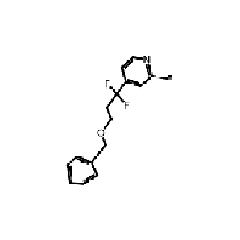 Fc1cc(C(F)(F)CCOCc2ccccc2)ccn1